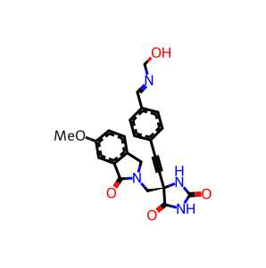 COc1ccc2c(c1)C(=O)N(C[C@@]1(C#Cc3ccc(/C=N/CO)cc3)NC(=O)NC1=O)C2